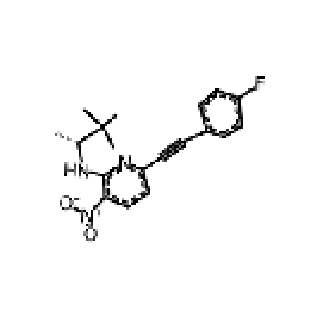 C[C@@H](Nc1nc(C#Cc2ccc(F)cc2)ccc1[N+](=O)[O-])C(C)(C)C